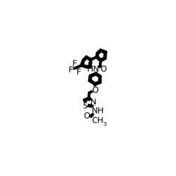 CC(=O)Nc1nc(COc2ccc(NC(=O)c3ccccc3-c3ccc(C(F)(F)F)cc3)cc2)cs1